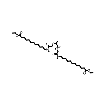 CCOC(=O)CCCCCCCCCCCN(C)C(=O)COC(C)[C@@H](C)OCC(=O)N(C)CCCCCCCCCCCC(=O)OCC